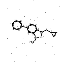 CN1SN(CC2CC2)c2ccc(-c3ccccc3)cc21